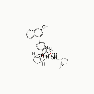 C[C@H](O)C(=O)N1C[C@H]2CC[C@@H](C1)N2c1nc(OC[C@@H]2CCCN2C)nc2cc(-c3cc(O)cc4ccccc34)ccc12